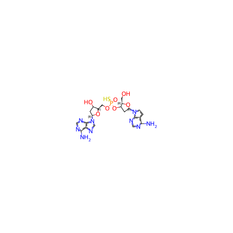 Nc1ncnc2c1ccn2[C@H]1CC(OP(=O)(S)OC[C@H]2O[C@@H](n3cnc4c(N)ncnc43)CC2O)[C@@H](CO)O1